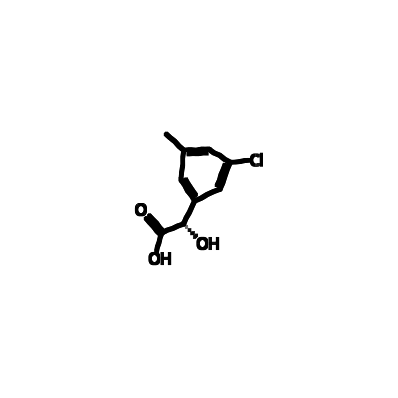 Cc1cc(Cl)cc([C@H](O)C(=O)O)c1